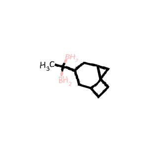 BC(B)(C)C1CC2CCC23CC3C1